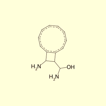 NC(O)C1c2ccccccccc2C1N